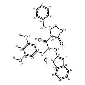 COc1cc([C@@H](O)[C@@H](OC2=Cc3ccccc3C2)C(=O)N2C(=O)OC[C@H]2Cc2ccccc2)cc(OC)c1C